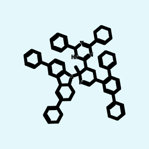 CC1(N2c3ccc(-c4ccccc4)cc3C3C=C(C4=CC=CCC4)CCC32)N=CC(c2cc(C3=CCCC=C3)ccc2C2=CCCC=C2)CC1C1=NC(C2=CCCCC2)=NC(c2ccccc2)N1